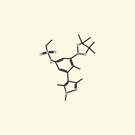 CCS(=O)(=O)Nc1cc(B2OC(C)(C)C(C)(C)O2)c(F)c(-c2c(C)nn(C)c2C)c1